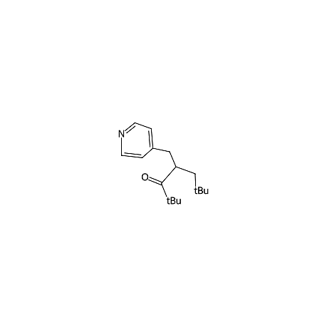 CC(C)(C)CC(Cc1ccncc1)C(=O)C(C)(C)C